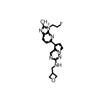 Cc1nc2ccc(-c3ccn4nc(NCC5COC5)ncc34)nc2n1CCF